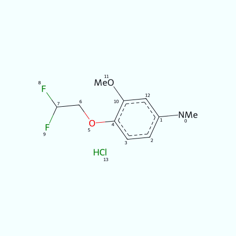 CNc1ccc(OCC(F)F)c(OC)c1.Cl